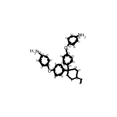 CCC1CCC(c2ccc(Oc3ccc(N)cc3)cc2)(c2ccc(Oc3ccc(N)cc3)cc2)CC1